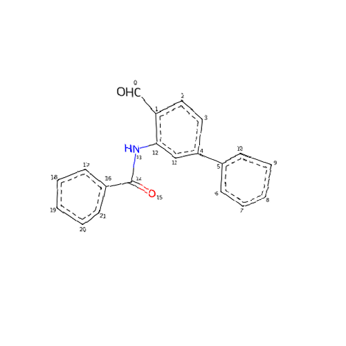 O=Cc1ccc(-c2ccccc2)cc1NC(=O)c1ccccc1